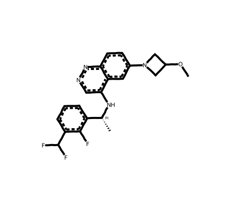 COC1CN(c2ccc3nncc(N[C@H](C)c4cccc(C(F)F)c4F)c3c2)C1